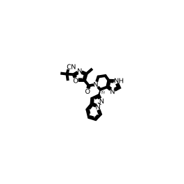 Cc1nc(C(C)(C)C#N)oc1C(=O)N1CCc2[nH]cnc2[C@H]1c1cc2ccccn2n1